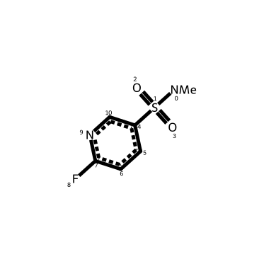 CNS(=O)(=O)c1ccc(F)nc1